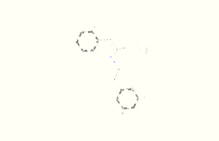 O=C(O)C(Cc1ccccc1)NCCc1ccccc1